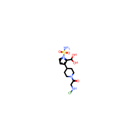 NS(=O)(=O)n1ccc(C2CCN(C(=O)CNCl)CC2)c1C(O)O